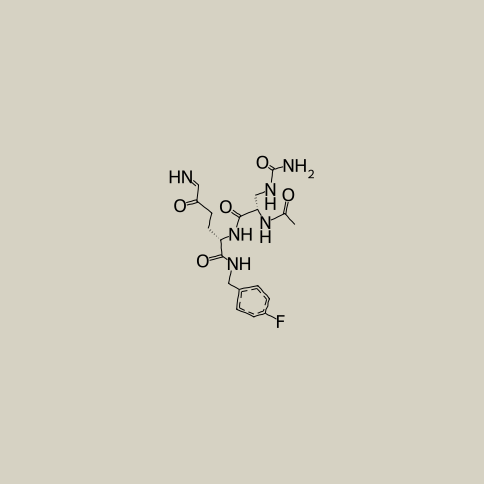 CC(=O)N[C@@H](CNC(N)=O)C(=O)N[C@@H](CCC(=O)C=N)C(=O)NCc1ccc(F)cc1